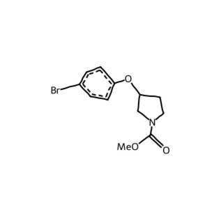 COC(=O)N1CCC(Oc2ccc(Br)cc2)C1